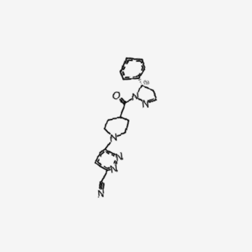 N#Cc1ccc(N2CCC(C(=O)N3N=CC[C@H]3c3ccccc3)CC2)nn1